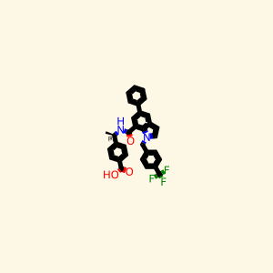 C[C@@H](NC(=O)c1cc(-c2ccccc2)cc2ccn(Cc3ccc(C(F)(F)F)cc3)c12)c1ccc(C(=O)O)cc1